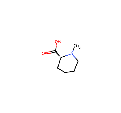 [CH2]N1CCCC[C@H]1C(=O)O